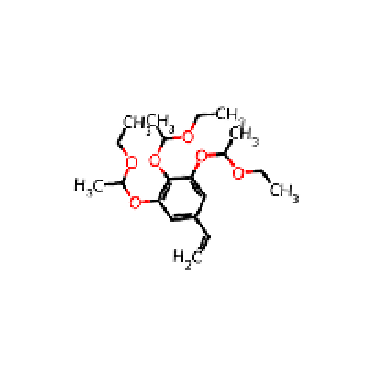 C=Cc1cc(OC(C)OCC)c(OC(C)OCC)c(OC(C)OCC)c1